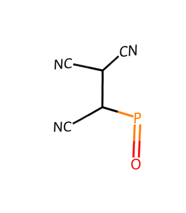 N#CC(C#N)C(C#N)P=O